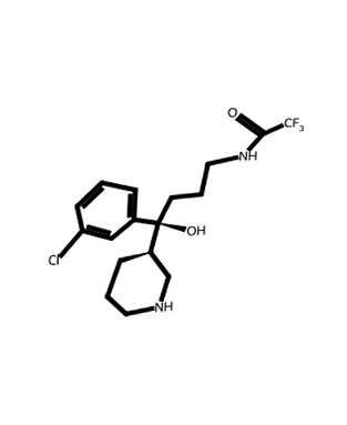 O=C(NCCC[C@@](O)(c1cccc(Cl)c1)[C@@H]1CCCNC1)C(F)(F)F